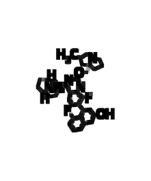 C[C@H]1CN2CCC[C@@]2(COc2nc(N3CC[C@H]4CC[C@@H](C3)N4)c3ccc(-c4cc(O)cc5cccc(F)c45)c(F)c3n2)C1